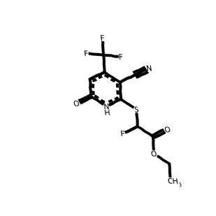 CCOC(=O)C(F)Sc1[nH]c(=O)cc(C(F)(F)F)c1C#N